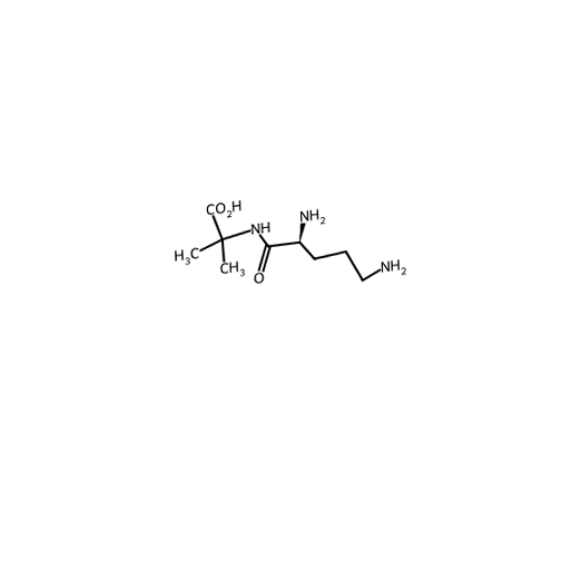 CC(C)(NC(=O)[C@@H](N)CCCN)C(=O)O